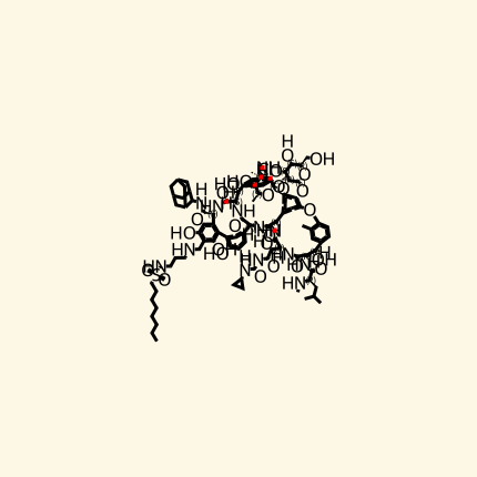 CCCCCCCCS(=O)(=O)NCCCNCc1c(O)cc2c(c1O)-c1cc(ccc1O)[C@H]1NC(=O)[C@@H]3NC(=O)[C@H](CC(=O)NC(=O)NC4CC4)NC(=O)[C@H](NC(=O)[C@@H](CC(C)C)NC)[C@H](O)c4ccc(c(C)c4)Oc4cc3cc(c4O[C@@H]3O[C@H](CO)[C@@H](O)[C@H](O)[C@H]3O[C@H]3C[C@](C)(N)[C@H](O)[C@H](C)O3)Oc3ccc(cc3Cl)[C@@H](O)[C@H](NC1=O)C(=O)N[C@@H]2C(=O)NC1C2CC3CC(C2)CC1C3